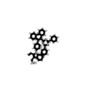 C=Cc1c(C=N)c2ccccc2n1-c1ccc(-c2c(-c3nc(-c4ccccc4)nc(-c4ccccc4)n3)c3ccccc3c3ccccc23)cc1